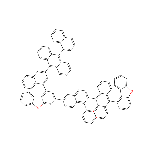 c1ccc(-c2c(-c3c4ccccc4c(-c4cccc5oc6ccccc6c45)c4ccccc34)ccc3cc(-c4cc(-c5cc(-c6c7ccccc7c(-c7cccc8ccccc78)c7ccccc67)cc6ccccc56)c5c(c4)oc4ccccc45)ccc23)cc1